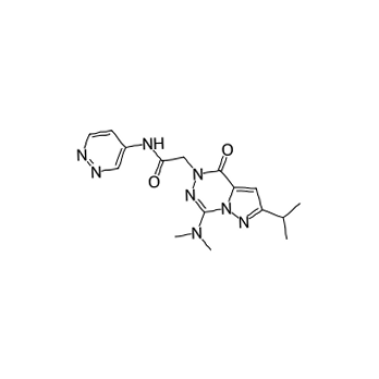 CC(C)c1cc2c(=O)n(CC(=O)Nc3ccnnc3)nc(N(C)C)n2n1